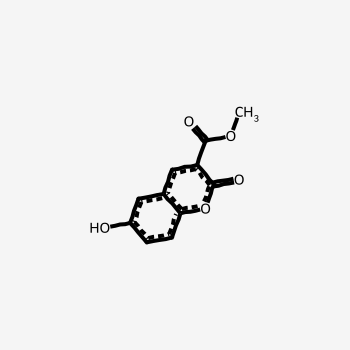 COC(=O)c1cc2cc(O)ccc2oc1=O